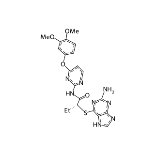 CC[C@@H](Sc1nc(N)nc2nc[nH]c12)C(=O)Nc1nccc(Oc2ccc(OC)c(OC)c2)n1